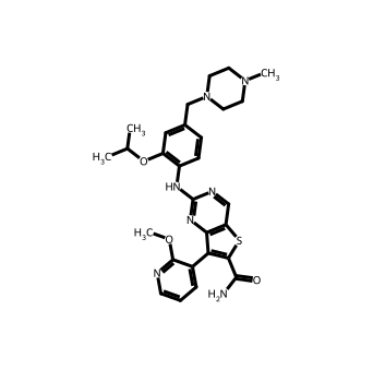 COc1ncccc1-c1c(C(N)=O)sc2cnc(Nc3ccc(CN4CCN(C)CC4)cc3OC(C)C)nc12